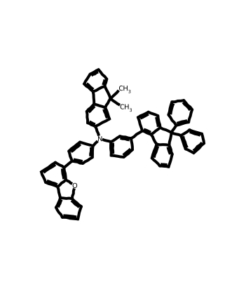 CC1(C)c2ccccc2-c2ccc(N(c3ccc(-c4cccc5c4oc4ccccc45)cc3)c3cccc(-c4cccc5c4-c4ccccc4C5(c4ccccc4)c4ccccc4)c3)cc21